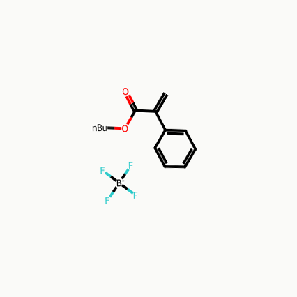 C=C(C(=O)OCCCC)c1ccccc1.F[B-](F)(F)F